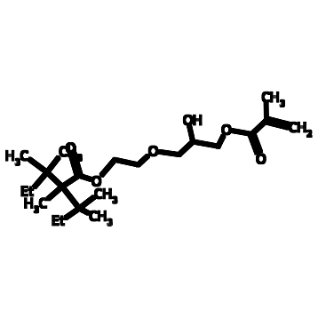 C=C(C)C(=O)OCC(O)COCCOC(=O)C(C)(C(C)(C)CC)C(C)(C)CC